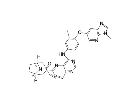 C=CC(=O)N1[C@@H]2CC[C@H]1CC(c1ccc3ncnc(Nc4ccc(Oc5cnc6c(c5)ncn6C)c(C)c4)c3n1)C2